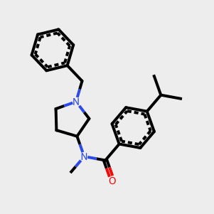 CC(C)c1ccc(C(=O)N(C)C2CCN(Cc3ccccc3)C2)cc1